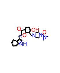 CN(C)C(=O)N1CCN(Cc2c(O)ccc3c2O/C(=C\c2c[nH]c4ccccc24)C3=O)CC1